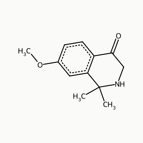 COc1ccc2c(c1)C(C)(C)NCC2=O